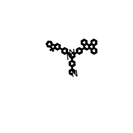 CC1(C)c2ccccc2-c2ccc(-c3ccc(-c4nc(-c5ccc(-c6cccnc6)cc5)cc(-c5ccc(-c6cc7c8ccccc8c8ccccc8c7c7ccccc67)cc5)n4)cc3)cc21